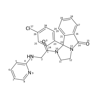 O=C(CNc1ccccn1)N1CCN2C(=O)c3ccccc3C12c1ccc(Cl)cc1